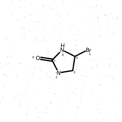 O=C1[N]CC(Br)N1